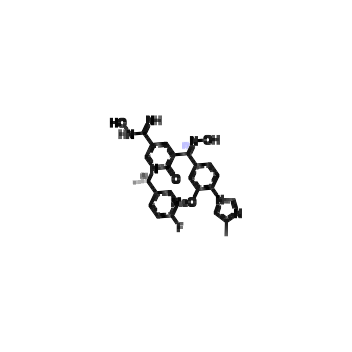 COc1cc(/C(=N\O)c2cc(C(=N)NO)cn([C@@H](C)c3ccc(F)cc3)c2=O)ccc1-n1cnc(C)c1